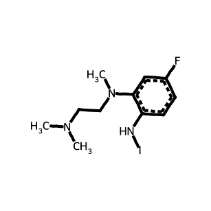 CN(C)CCN(C)c1cc(F)ccc1NI